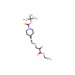 CCOC(=O)C(=O)CSN=C=C1CCN(C(=O)OC(C)(C)C)CC1